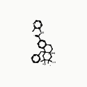 Cc1ncccc1NC(=O)c1ccc2c(c1)CC[C@@H]1CC(O)(C(F)(F)F)C(C)(O)CC21Cc1ccccc1